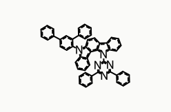 c1ccc(-c2ccc(-n3c4ccccc4c4c3ccc3c5ccccc5n(-c5nc(-c6ccccc6)nc(-c6ccccc6)n5)c34)c(-c3ccccc3)c2)cc1